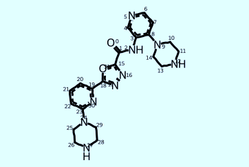 O=C(Nc1cnccc1N1CCNCC1)c1nnc(-c2cccc(N3CCNCC3)n2)o1